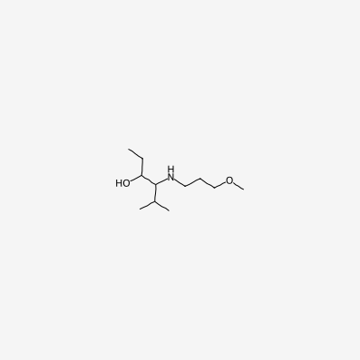 CCC(O)C(NCCCOC)C(C)C